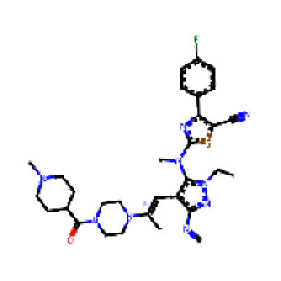 C=Nc1nn(CC)c(N(C)c2nc(-c3ccc(F)cc3)c(C#N)s2)c1/C=C(\C)N1CCN(C(=O)C2CCN(C)CC2)CC1